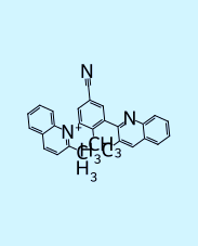 Cc1cc2ccccc2nc1-c1cc(C#N)cc(-[n+]2c(C)ccc3ccccc32)c1C